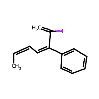 C=C(I)/C(=C\C=C/C)c1ccccc1